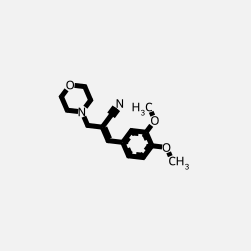 COc1ccc(C=C(C#N)CN2CCOCC2)cc1OC